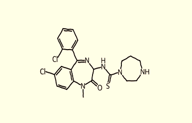 CN1C(=O)C(NC(=S)N2CCCNCC2)N=C(c2ccccc2Cl)c2cc(Cl)ccc21